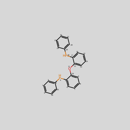 c1ccc(Pc2ccccc2Oc2ccccc2Pc2ccccc2)cc1